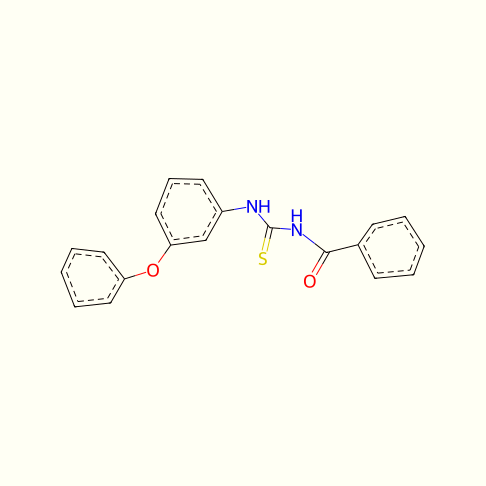 O=C(NC(=S)Nc1cccc(Oc2ccccc2)c1)c1ccccc1